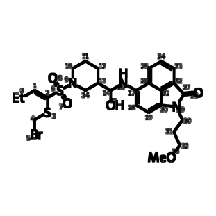 CC/C=C(\SCBr)S(=O)(=O)N1CCCC(C(O)Nc2ccc3c4c(cccc24)C(=O)N3CCCOC)C1